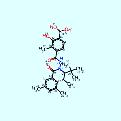 CCC(N(NC(=O)c1ccc(B(O)O)c(O)c1C)C(=O)c1cc(C)cc(C)c1)C(C)(C)C